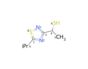 CC(C)c1nc(C(C)S)ns1